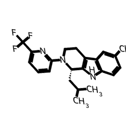 CC(C)C[C@H]1c2[nH]c3ccc(Cl)cc3c2CCN1c1cccc(C(F)(F)F)n1